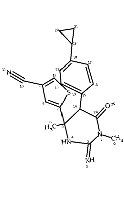 CN1C(=N)NC(C)(c2cc(C#N)cs2)C(c2ccc(C3CC3)cc2)C1=O